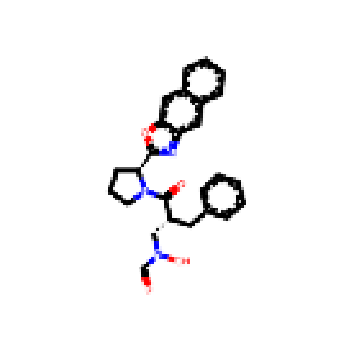 O=CN(O)C[C@@H](Cc1ccccc1)C(=O)N1CCC[C@H]1c1nc2cc3ccccc3cc2o1